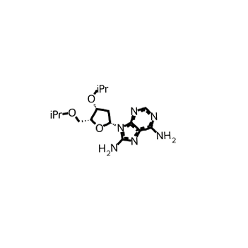 CC(C)OC[C@H]1O[C@@H](n2c(N)nc3c(N)ncnc32)C[C@H]1OC(C)C